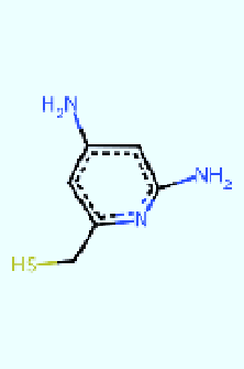 Nc1cc(N)nc(CS)c1